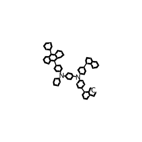 c1ccc(-c2c3ccccc3c(-c3ccc(N(c4ccccc4)c4ccc(N(c5ccc(-c6cccc7ccccc67)cc5)c5ccc(-c6cccc7ccccc67)cc5)cc4)cc3)c3ccccc23)cc1